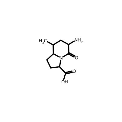 CC1CC(N)C(=O)N2C(C(=O)O)CCC12